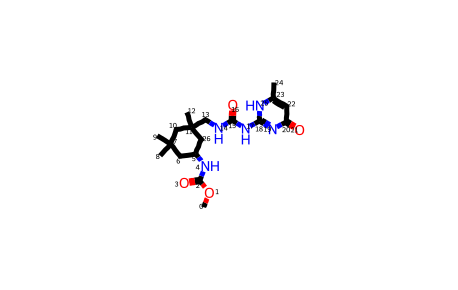 COC(=O)NC1CC(C)(C)CC(C)(CNC(=O)Nc2nc(=O)cc(C)[nH]2)C1